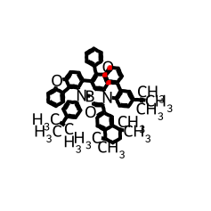 CC(C)(C)c1ccc(N2B3c4oc5cc6c(cc5c4N(c4ccc(C(C)(C)C)cc4-c4ccccc4)c4cc5oc7ccccc7c5c(c43)-c3ccc4oc5ccccc5c4c32)C(C)(C)CCC6(C)C)cc1